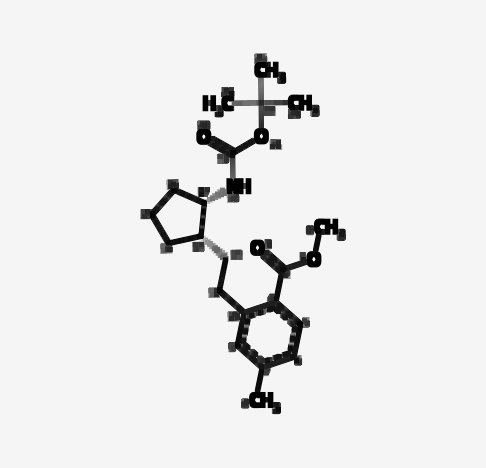 COC(=O)c1ccc(C)cc1CC[C@@H]1CCC[C@@H]1NC(=O)OC(C)(C)C